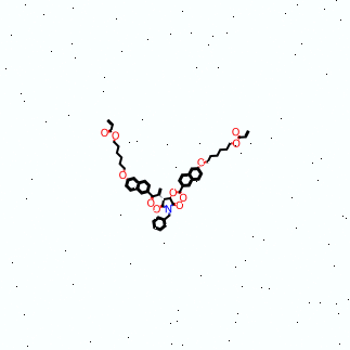 C=CC(=O)OCCCCCCOc1ccc2cc(C(=O)O[C@H]3C(=O)N(Cc4ccccc4)C(=O)[C@@H]3C(=C)C(=O)c3ccc4cc(OCCCCCCOC(=O)C=C)ccc4c3)ccc2c1